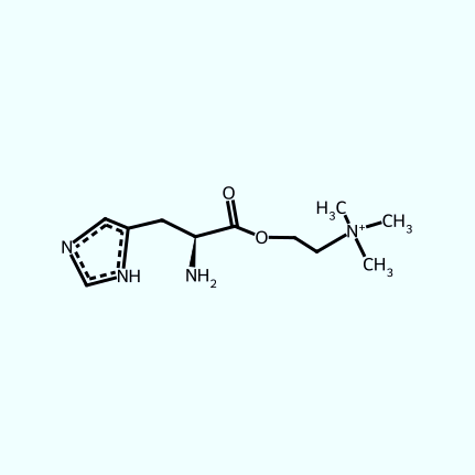 C[N+](C)(C)CCOC(=O)[C@@H](N)Cc1cnc[nH]1